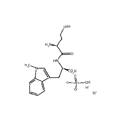 CSCC[C@H](N)C(=O)N[C@H](Cc1cn(C)c2ccccc12)C(=O)O.O=P([O-])([O-])O.[H+].[H+]